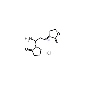 Cl.NC(C/C=C1\CCOC1=O)N1CCCC1=O